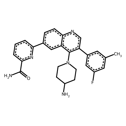 Cc1cc(F)cc(-c2cnc3ccc(-c4cccc(C(N)=O)n4)cc3c2N2CCC(N)CC2)c1